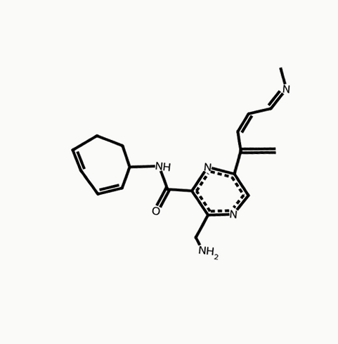 C=C(/C=C\C=N/C)c1cnc(CN)c(C(=O)NC2C=CC=CCC2)n1